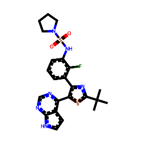 CC(C)(C)c1nc(-c2cccc(NS(=O)(=O)N3CCCC3)c2F)c(-c2ncnc3[nH]ccc23)s1